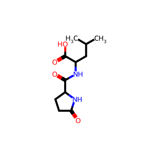 CC(C)CC(NC(=O)C1CCC(=O)N1)C(=O)O